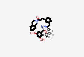 C[C@H](Cc1cccc(CCC(=O)N2CCc3ccccc3C2)c1)NC[C@H](O[Si](C)(C)C(C)(C)C)c1cc(O)cc(O)c1